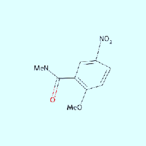 CNC(=O)c1cc([N+](=O)[O-])ccc1OC